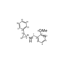 COc1ncccc1CN[C@@H]1CC1c1ccccc1